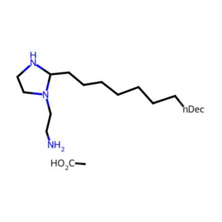 CC(=O)O.CCCCCCCCCCCCCCCCCC1NCCN1CCN